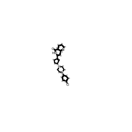 O=c1[nH]c(C2=C[C@H](N3CCN(c4ccc(Cl)cc4)CC3)CC2)cc2ncccc12